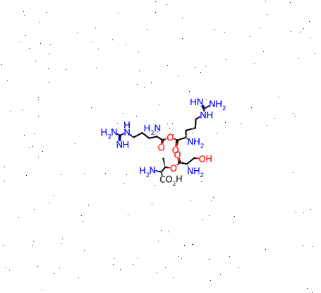 C[C@@H](OC(=O)[C@@H](N)CO)[C@H](N)C(=O)O.N=C(N)NCCC[C@H](N)C(=O)OC(=O)[C@@H](N)CCCNC(=N)N